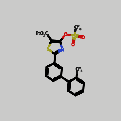 CCOC(=O)c1sc(-c2cccc(-c3ccccc3C(F)(F)F)c2)nc1OS(=O)(=O)C(F)(F)F